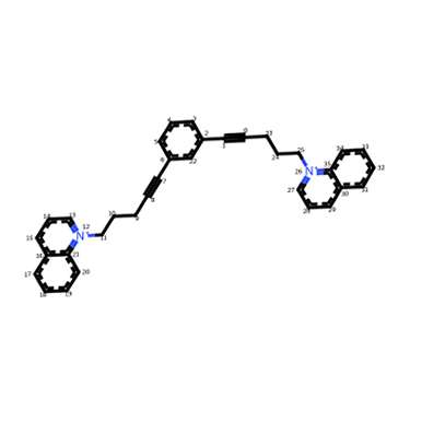 C(#Cc1cccc(C#CCCC[n+]2cccc3ccccc32)c1)CCC[n+]1cccc2ccccc21